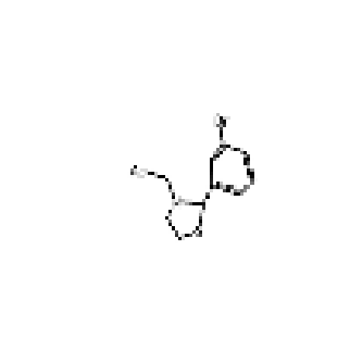 CC(=O)CN1CCSC1c1cccc(Br)c1